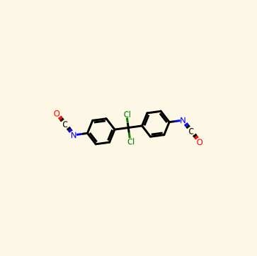 O=C=Nc1ccc(C(Cl)(Cl)c2ccc(N=C=O)cc2)cc1